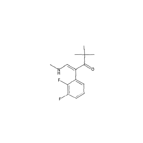 CN/C=C(/C(=O)C(C)(C)C)c1cccc(F)c1F